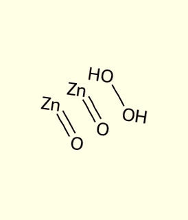 OO.[O]=[Zn].[O]=[Zn]